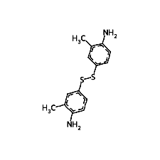 Cc1cc(SSc2ccc(N)c(C)c2)ccc1N